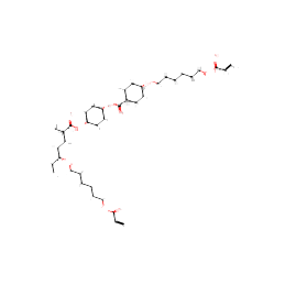 C=CC(=O)OCCCCCCOC(CC)CCC(C)C(=O)OC1CCC(OC(=O)C2CCC(OCCCCCCOC(=O)C=C)CC2)CC1